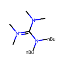 CCCCN(CCCC)C(N(C)C)=[N+](C)C